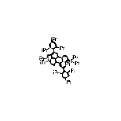 CC(C)c1cc(C(C)C)c(-c2cc3c([Si](C(C)C)(C(C)C)C(C)C)ccc4c5cc(-c6c(C(C)C)cc(C(C)C)cc6C(C)C)cc6c([Si](C(C)C)(C(C)C)C(C)C)ccc(c(c2)c34)c65)c(C(C)C)c1